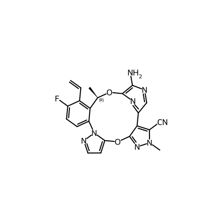 C=Cc1c(F)ccc2c1[C@@H](C)Oc1nc(cnc1N)-c1c(nn(C)c1C#N)Oc1ccnn1-2